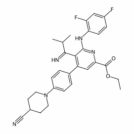 CCOC(=O)c1cc(-c2ccc(N3CCC(C#N)CC3)cc2)c(C(=N)C(C)C)c(Nc2ccc(F)cc2F)n1